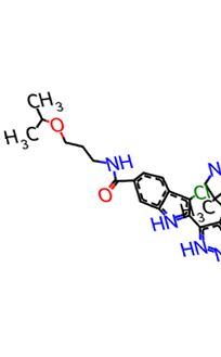 CC(C)OCCCNC(=O)c1ccc2c(Cl)c(-c3[nH]nc4ncnc(C(C)(C)CN)c34)[nH]c2c1